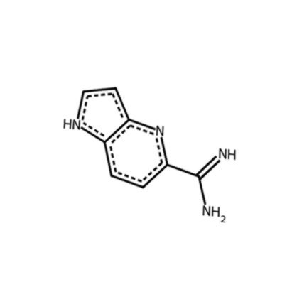 N=C(N)c1ccc2[nH]ccc2n1